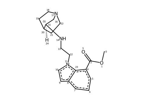 COC(=O)c1cccc2ccn(CCN[C@@H]3CN4CCC3CC4)c12